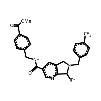 COC(=O)c1ccc(CNC(=O)c2cnc3c(c2)CN(Cc2ccc(C(F)(F)F)cc2)C3C(C)C)cc1